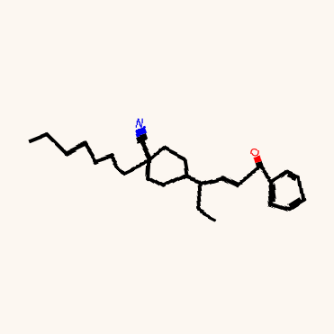 CCCCCCCC1(C#N)CCC(C(CC)CCC(=O)c2ccccc2)CC1